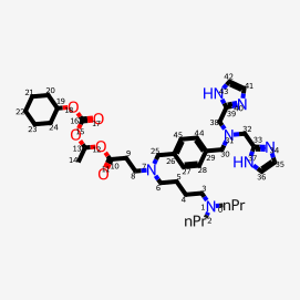 CCCN(CCC)CCCCN(CCC(=O)OC(C)OC(=O)OC1CCCCC1)Cc1ccc(CN(Cc2ncc[nH]2)Cc2ncc[nH]2)cc1